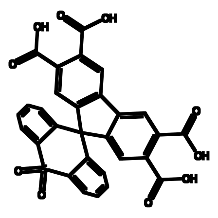 O=C(O)c1cc2c(cc1C(=O)O)C1(c3cc(C(=O)O)c(C(=O)O)cc3-2)c2ccccc2S(=O)(=O)c2ccccc21